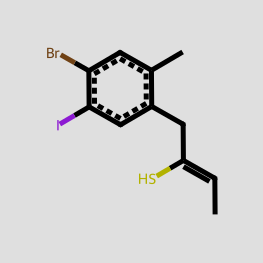 C/C=C(\S)Cc1cc(I)c(Br)cc1C